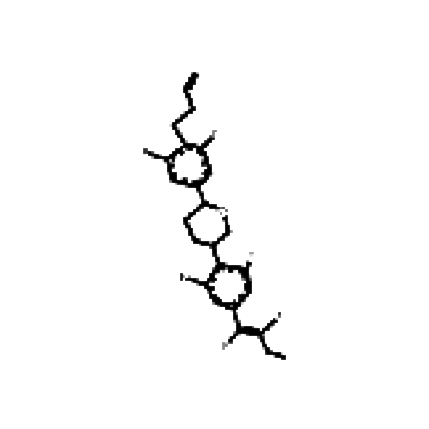 C=CCCc1c(F)cc(C2CCC(c3c(F)cc(/C(F)=C(\F)CC)cc3F)CO2)cc1F